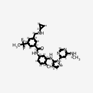 CNc1cc(-n2nccc2Nc2cc(NC(=O)c3cc(CNC4CC4)cc(C(C)(F)F)c3)ccc2C)ncn1